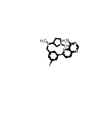 CN1CCC(N(C)Cc2cc(F)cc(-c3ccc4ncnc(N)c4n3)c2)C1